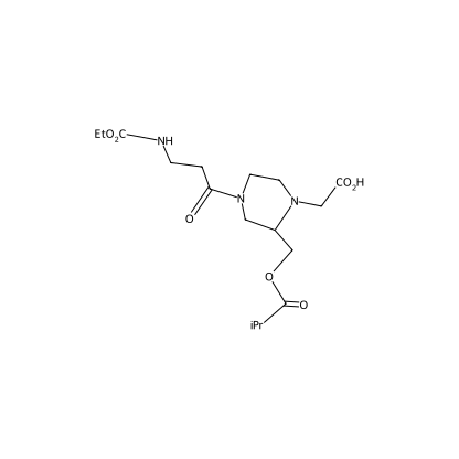 CCOC(=O)NCCC(=O)N1CCN(CC(=O)O)C(COC(=O)C(C)C)C1